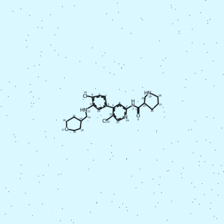 O=C(Nc1cc(-c2ccc(Cl)c(NCC3CCOCC3)c2)c(Cl)cn1)C1CCCNC1